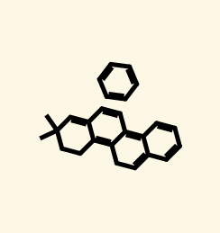 CC1(C)C=c2ccc3c(c2CC1)CC=c1ccccc1=3.c1ccccc1